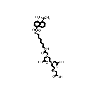 CN(C)c1cccc2c(S(=O)(=O)NCCCCCCNC(=O)CN(CCN(CCNCC(=O)O)CC(=O)O)CC(=O)O)cccc12